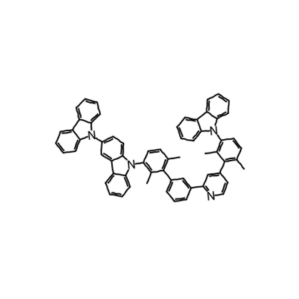 Cc1ccc(-n2c3ccccc3c3ccccc32)c(C)c1-c1ccnc(-c2cccc(-c3c(C)ccc(-n4c5ccccc5c5cc(-n6c7ccccc7c7ccccc76)ccc54)c3C)c2)c1